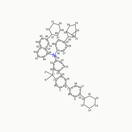 CC1(C)c2ccc(-c3ccc(C4CCCCC4)cc3)cc2-c2ccc(N(c3ccc(C4CC5CCC4C5)cc3)c3cccc4ccc(C5CCCCC5)cc34)cc21